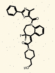 Cc1nc(-c2ccccc2)sc1C(=O)N1CCC(F)(F)/C(=C\C(=O)N2CCC(CO)CC2)c2ccccc21